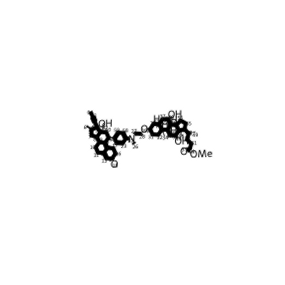 CC#C[C@]1(O)[C@H](C)CC2C3CCC4=CC(=O)CCC4=C3[C@@H](c3ccc(N(C)CCO[C@H]4CC[C@@]5(C)[C@@H](C4)C[C@@H](O)[C@@H]4[C@@H]5C[C@H](O)[C@]5(C)C([C@H](C)CCC(=O)OC)CC[C@@H]45)cc3)C[C@@]21C